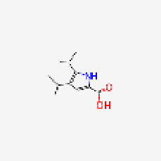 CC(C)c1cc(C(=O)O)[nH]c1C(C)C